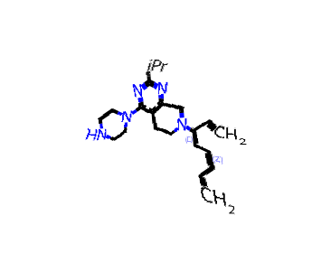 C=C/C=C\C=C(/C=C)N1CCc2c(nc(C(C)C)nc2N2CCNCC2)C1